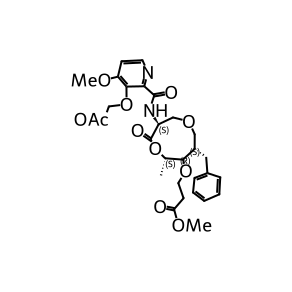 COC(=O)CCO[C@@H]1[C@@H](Cc2ccccc2)COC[C@H](NC(=O)c2nccc(OC)c2OCOC(C)=O)C(=O)O[C@H]1C